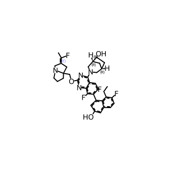 CCc1c(F)ccc2cc(O)cc(-c3c(F)cc4c(N5C[C@@H]6C[C@H](C5)[C@H](O)C6)nc(OCC56CCCN5C/C(=C(\C)F)C6)nc4c3F)c12